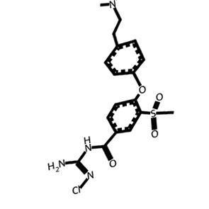 CN(C)CCc1ccc(Oc2ccc(C(=O)NC(N)=NCl)cc2S(C)(=O)=O)cc1